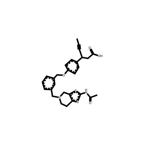 CC#CC(CC(=O)O)c1ccc(OCc2cccc(CN3CCc4nc(NC(C)=O)sc4C3)c2)cc1